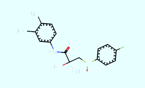 C[C@@](O)(C[S+]([O-])c1ccc(F)cc1)C(=O)Nc1ccc(C#N)c(C(F)(F)F)c1